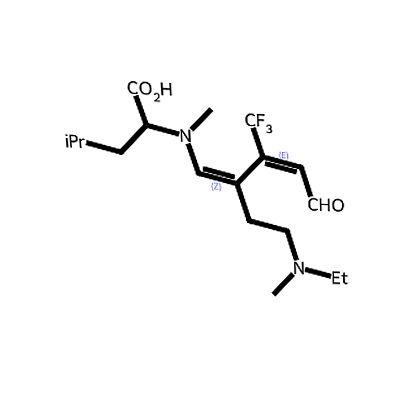 CCN(C)CCC(=C/N(C)C(CC(C)C)C(=O)O)/C(=C\C=O)C(F)(F)F